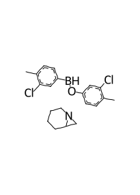 C1CCN2CC2C1.Cc1ccc(BOc2ccc(C)c(Cl)c2)cc1Cl